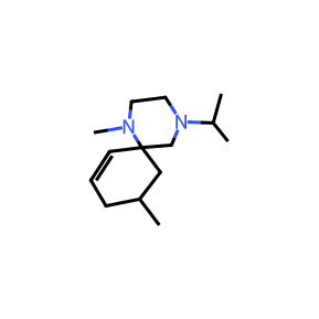 CC1CC=CC2(C1)CN(C(C)C)CCN2C